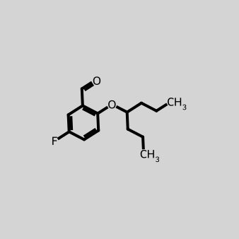 CCCC(CCC)Oc1ccc(F)cc1C=O